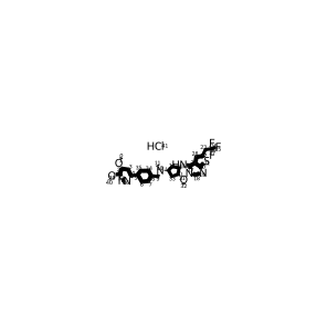 COc1cc(-c2ccc(CN(C)[C@@H]3C[C@H](Nc4ncnc5sc(CC(F)(F)F)cc45)[C@H](OC)C3)cc2)nnc1OC.Cl